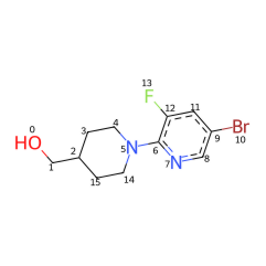 OCC1CCN(c2ncc(Br)cc2F)CC1